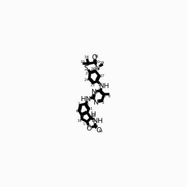 Cc1cnc(Nc2ccc3c(c2)[C@H]2NC(=O)OC2C3)nc1Nc1ccc2c(c1)N(C)C(=O)C(C)(C)S2